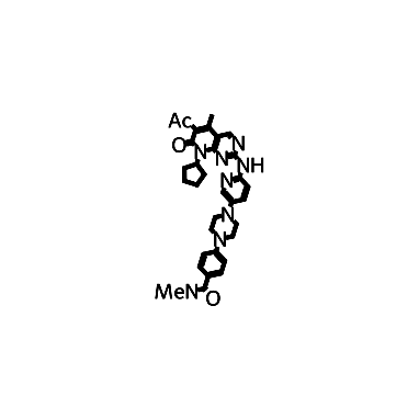 CNC(=O)c1ccc(N2CCN(c3ccc(Nc4ncc5c(C)c(C(C)=O)c(=O)n(C6CCCC6)c5n4)nc3)CC2)cc1